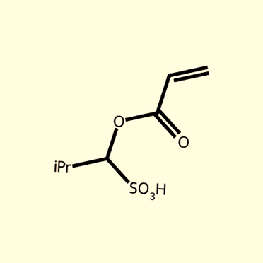 C=CC(=O)OC(C(C)C)S(=O)(=O)O